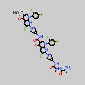 C[C@H](N)C(=O)N[C@@H](C)C(=O)NC1C2CN(c3nc4c(cc3F)c(=O)c(C(=O)NC3C5CN(c6nc7c(cc6F)c(=O)c(C(=O)O)cn7-c6ccc(F)cc6F)CC53)cn4-c3ccc(F)cc3F)CC21